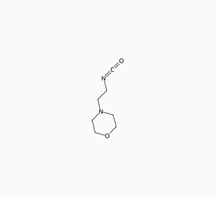 O=C=NCCN1CCOCC1